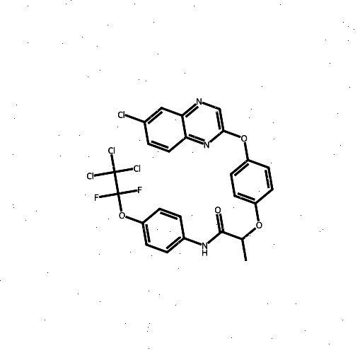 CC(Oc1ccc(Oc2cnc3cc(Cl)ccc3n2)cc1)C(=O)Nc1ccc(OC(F)(F)C(Cl)(Cl)Cl)cc1